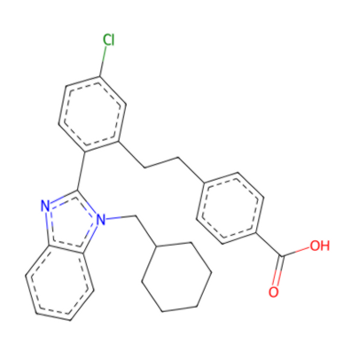 O=C(O)c1ccc(CCc2cc(Cl)ccc2-c2nc3ccccc3n2CC2CCCCC2)cc1